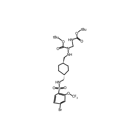 CC(C)(C)OC(=O)NCN(NC[C@H]1CC[C@H](CNS(=O)(=O)c2ccc(Br)cc2OC(F)(F)F)CC1)C(=O)OC(C)(C)C